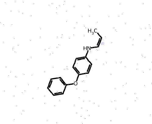 C/C=C\Nc1ccc(Oc2ccccc2)cc1